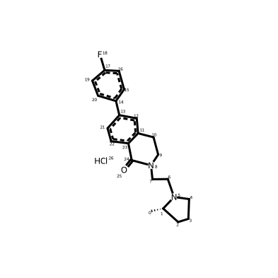 C[C@H]1CCCN1CCN1CCc2cc(-c3ccc(F)cc3)ccc2C1=O.Cl